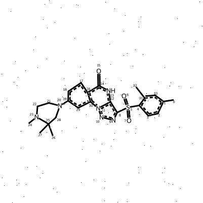 Cc1ccc(S(=O)(=O)c2nnn3c2[nH]c(=O)c2ccc(N4CCN(C)C(C)(C)C4)cc23)c(C)c1